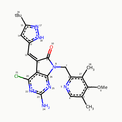 COc1c(C)cnc(CN2C(=O)/C(=C\c3cc(C(C)(C)C)n[nH]3)c3c(Cl)nc(N)nc32)c1C